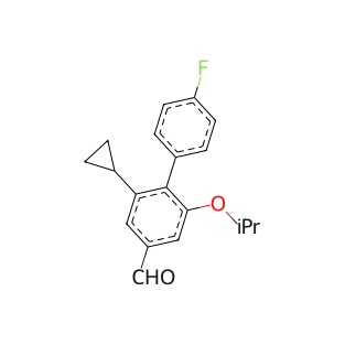 CC(C)Oc1cc(C=O)cc(C2CC2)c1-c1ccc(F)cc1